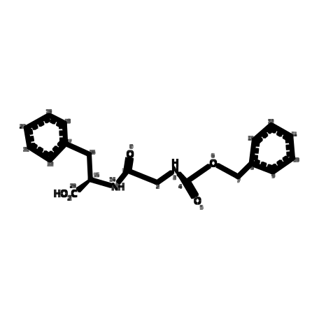 O=C(CNC(=O)OCc1ccccc1)N[C@H](Cc1ccccc1)C(=O)O